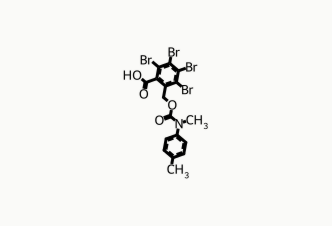 Cc1ccc(N(C)C(=O)OCc2c(Br)c(Br)c(Br)c(Br)c2C(=O)O)cc1